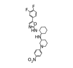 O=[N+]([O-])c1ccc(N2CCC[C@H](N[C@@H]3CCCC[C@H]3Nc3ncc(-c4ccc(F)c(F)c4)o3)C2)cc1